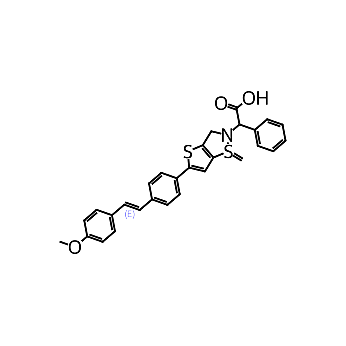 C=S1c2cc(-c3ccc(/C=C/c4ccc(OC)cc4)cc3)sc2CN1C(C(=O)O)c1ccccc1